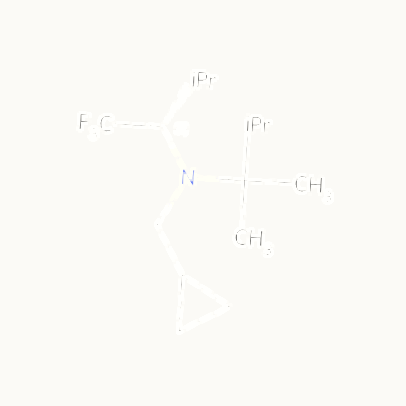 CC(C)[C@H](N(CC1CC1)C(C)(C)C(C)C)C(F)(F)F